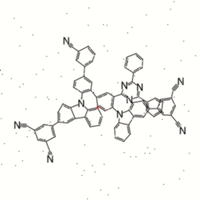 N#Cc1cccc(-c2ccc(-n3c4ccccc4c4cc(-c5cc(C#N)cc(C#N)c5)ccc43)c(-c3ccc(-n4c5ccccc5c5cc(-c6cc(C#N)cc(C#N)c6)ccc54)c(-c4nc(-c5ccccc5)nc(-c5ccccc5)n4)c3)c2)c1